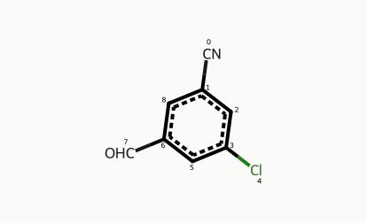 N#Cc1cc(Cl)cc(C=O)c1